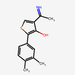 CC(=N)c1csc(-c2ccc(C)c(C)c2)c1O